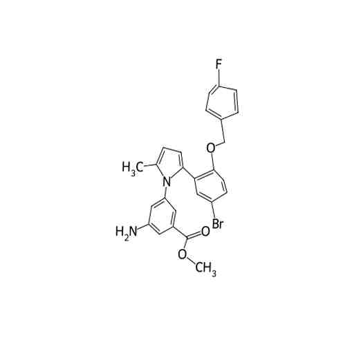 COC(=O)c1cc(N)cc(-n2c(C)ccc2-c2cc(Br)ccc2OCc2ccc(F)cc2)c1